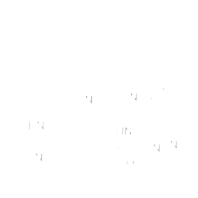 Cc1ccc(NC(=O)c2cnn(C)c2NC(=O)c2ccc(C(=N)N(C)C)cc2)c(C#N)c1